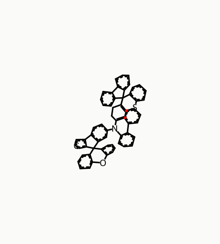 C1=C(N(c2ccc3c(c2)C2(c4ccccc4Oc4ccccc42)c2ccccc2-3)c2ccccc2-c2ccccc2)CCC2=C1Sc1ccccc1C21c2ccccc2-c2ccccc21